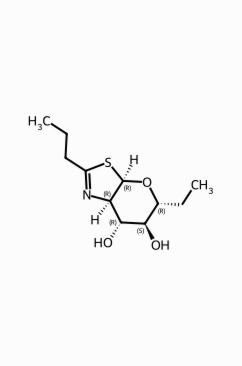 CCCC1=N[C@@H]2[C@@H](O)[C@H](O)[C@@H](CC)O[C@@H]2S1